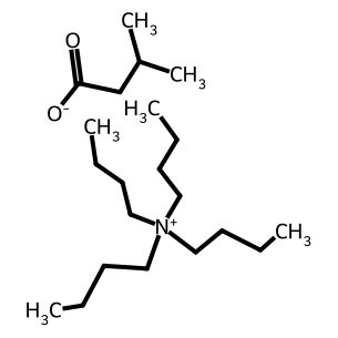 CC(C)CC(=O)[O-].CCCC[N+](CCCC)(CCCC)CCCC